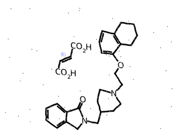 O=C(O)/C=C/C(=O)O.O=C1c2ccccc2CN1CC1CCN(CCOc2cccc3c2CCCC3)CC1